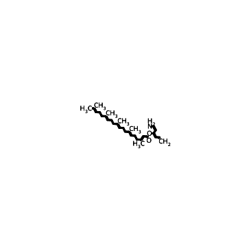 C=C/C=C(\C=C/N)OC(=O)/C=C(\C)CC/C=C(\C)CC/C=C(\C)CC/C=C(\C)CCC=C(C)C